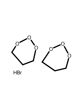 Br.C1COOOC1.C1COOOC1